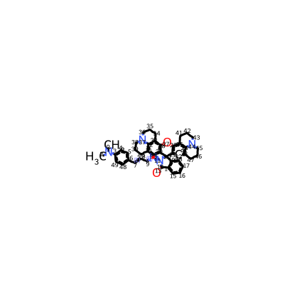 CN(C)c1ccc(/C=C/C=N/N2C(=O)c3ccccc3C23c2cc4c5c(c2Oc2c3cc3c6c2CCCN6CCC3)CCCN5CCC4)cc1